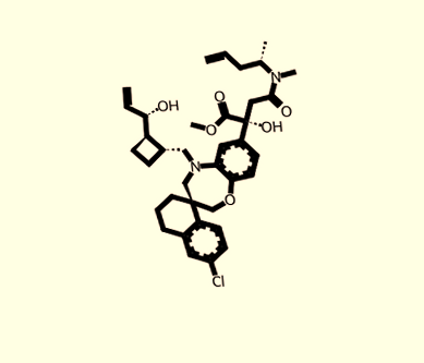 C=CC[C@H](C)N(C)C(=O)C[C@](O)(C(=O)OC)c1ccc2c(c1)N(C[C@@H]1CC[C@H]1[C@@H](O)C=C)C[C@@]1(CCCc3cc(Cl)ccc31)CO2